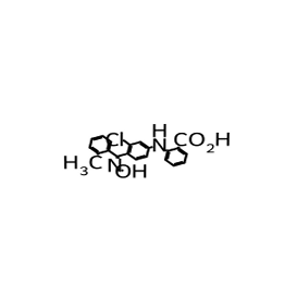 Cc1ccccc1C(=NO)c1ccc(Nc2ccccc2C(=O)O)cc1Cl